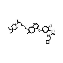 C=C(NCC1CCC1)NC1=CC=C(Oc2ccnc3c2=CCC(C)=C(CCCCC(=C)N2CCC(CC)(CC)CC2)C=3)CC=C1Cl